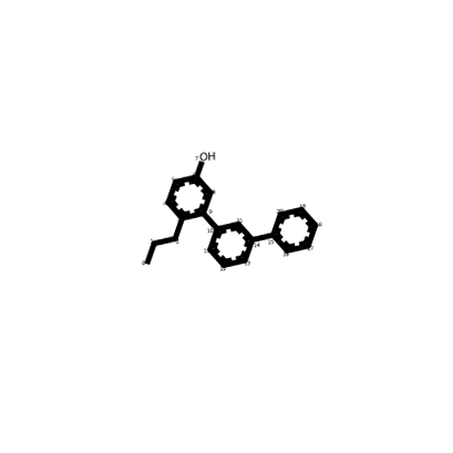 CCCc1ccc(O)cc1-c1cccc(-c2ccccc2)c1